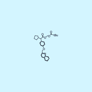 CC(C)(C)C(=O)OCOC(=O)C(c1ccc(OCc2ccc3ccccc3n2)cc1)C1CCCC1